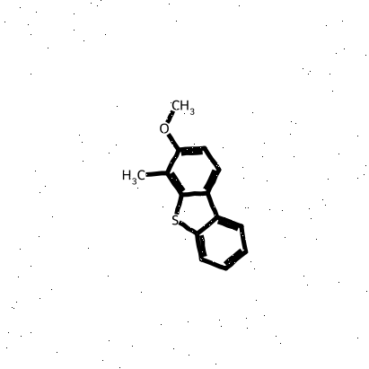 COc1ccc2c(sc3ccccc32)c1C